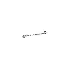 [O]CCCCCCCCCCCCCCCCCCc1ccccc1